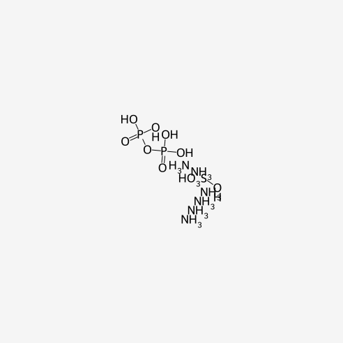 N.N.N.N.N.N.O=P(O)(O)OP(=O)(O)O.O=S(=O)(O)O